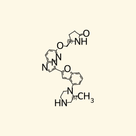 C[C@H]1CNCCN1c1cccc2oc(-c3cnc4ccc(OC[C@H]5CCC(=O)N5)nn34)cc12